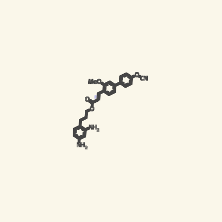 COc1cc(-c2ccc(OC#N)cc2)ccc1/C=C/C(=O)OCCCc1ccc(N)cc1N